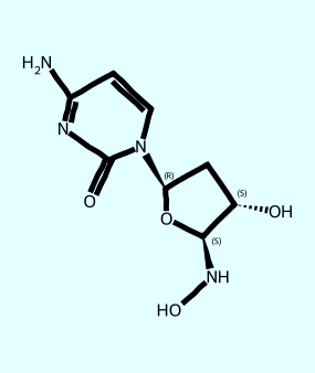 Nc1ccn([C@H]2C[C@H](O)[C@@H](NO)O2)c(=O)n1